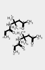 C=CC(=O)NC(C)(C)CC(C)=O.C=CC(=O)NC(C)(C)CC(C)=O